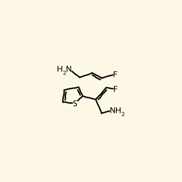 NCC(=CF)c1cccs1.NCC=CF